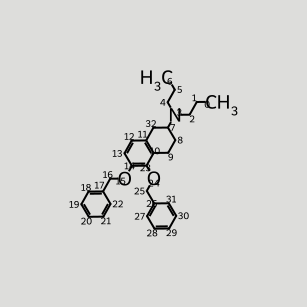 CCCN(CCC)C1CCc2c(ccc(OCc3ccccc3)c2OCc2ccccc2)C1